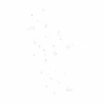 C=C(C(=O)OC(OCCC(F)(F)S(=O)(=O)O)(C(=O)OCC)C(F)(F)F)C(F)(F)F